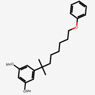 COc1cc(OC)cc(C(C)(C)CCCCCCOc2ccccc2)c1